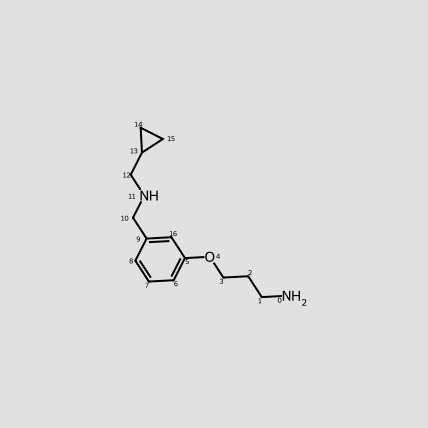 NCCCOc1cccc(CNCC2CC2)c1